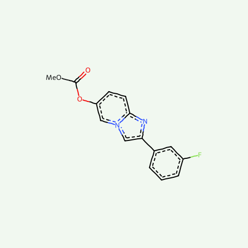 COC(=O)Oc1ccc2nc(-c3cccc(F)c3)cn2c1